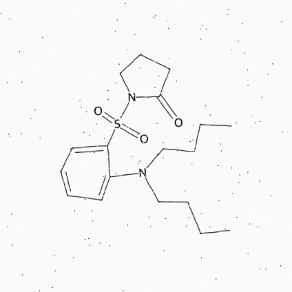 CCCCN(CCCC)c1ccccc1S(=O)(=O)N1CCCC1=O